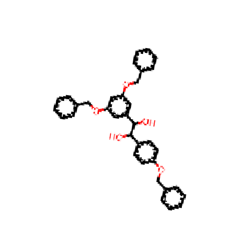 OC(c1ccc(OCc2ccccc2)cc1)C(O)c1cc(OCc2ccccc2)cc(OCc2ccccc2)c1